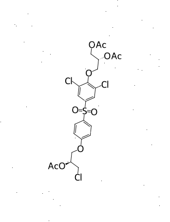 CC(=O)OC[C@@H](COc1c(Cl)cc(S(=O)(=O)c2ccc(OC[C@@H](CCl)OC(C)=O)cc2)cc1Cl)OC(C)=O